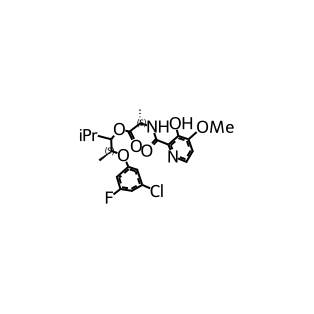 COc1ccnc(C(=O)N[C@@H](C)C(=O)OC(C(C)C)[C@H](C)Oc2cc(F)cc(Cl)c2)c1O